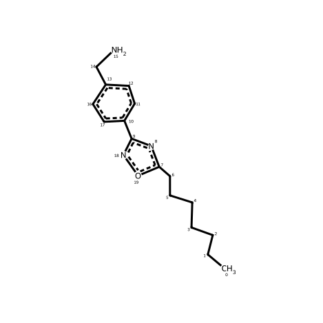 CCCCCCCc1nc(-c2ccc(CN)cc2)no1